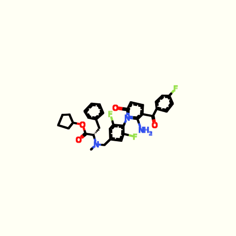 CN(Cc1cc(F)c(-n2c(N)c(C(=O)c3ccc(F)cc3)ccc2=O)c(F)c1)[C@@H](Cc1ccccc1)C(=O)OC1CCCC1